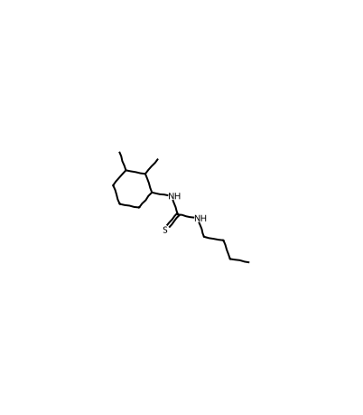 CCCCNC(=S)NC1CCCC(C)C1C